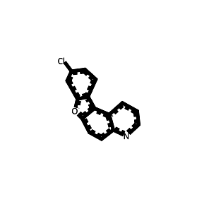 Clc1ccc2c(c1)oc1ccc3ncccc3c12